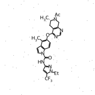 CCn1nc(NC(=O)n2ccc3c(C)c(Oc4ncnc5c4C[C@H](C)N(C(C)=O)C5)ccc32)cc1C(F)(F)F